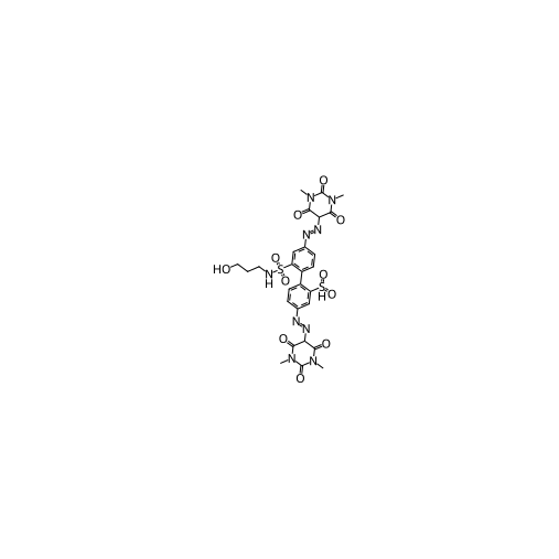 CN1C(=O)C(N=Nc2ccc(-c3ccc(N=NC4C(=O)N(C)C(=O)N(C)C4=O)cc3S(=O)(=O)NCCCO)c([SH](=O)=O)c2)C(=O)N(C)C1=O